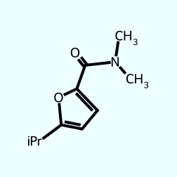 CC(C)c1ccc(C(=O)N(C)C)o1